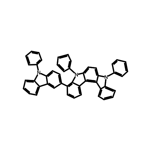 c1ccc(-n2c3ccccc3c3cc(-c4cccc5c6c7c8ccccc8n(-c8ccccc8)c7ccc6n(-c6ccccc6)c45)ccc32)cc1